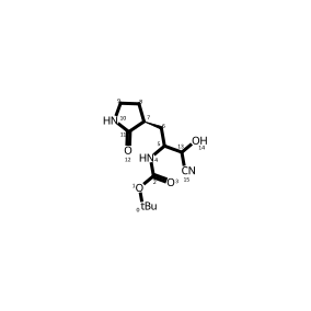 CC(C)(C)OC(=O)NC(C[C@@H]1CCNC1=O)C(O)C#N